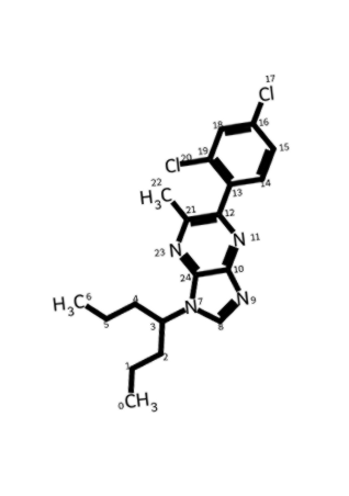 CCCC(CCC)n1cnc2nc(-c3ccc(Cl)cc3Cl)c(C)nc21